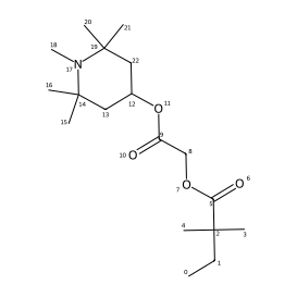 CCC(C)(C)C(=O)OCC(=O)OC1CC(C)(C)N(C)C(C)(C)C1